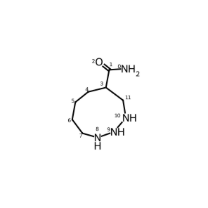 NC(=O)C1CCCCNNNC1